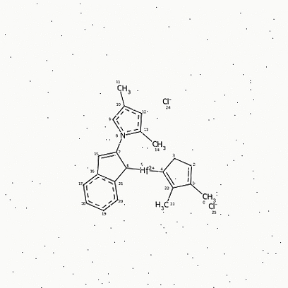 CC1=CC[C]([Hf+2][CH]2C(n3cc(C)cc3C)=Cc3ccccc32)=C1C.[Cl-].[Cl-]